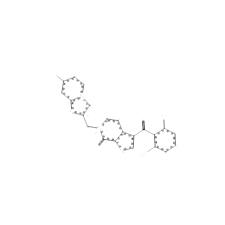 O=C(c1c(F)cccc1F)c1c[nH]c2c(=O)n(Cc3cn4ccc(C(F)(F)F)cc4n3)ccc12